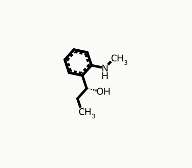 CC[C@@H](O)c1ccccc1NC